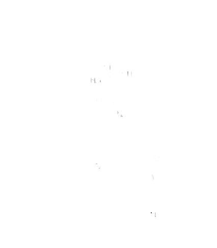 CC(C)(C)OC(=O)N1CCC(C(=O)c2cc(Br)cc(C#N)c2F)CC1